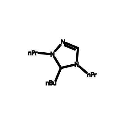 CCCCC1N(CCC)C=NN1CCC